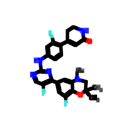 CCC(C)N1CC(C)(C)Oc2c(F)cc(-c3nc(Nc4ccc(C5=CC(=O)NCC5)c(F)c4)ncc3F)cc21